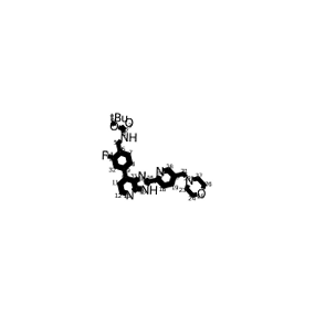 CC(C)(C)OC(=O)NCc1ccc(-c2ccnc3[nH]c(-c4ccc(CN5CCOCC5)cn4)nc23)cc1F